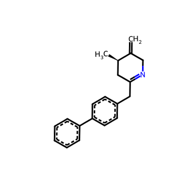 C=C1CN=C(Cc2ccc(-c3ccccc3)cc2)C[C@H]1C